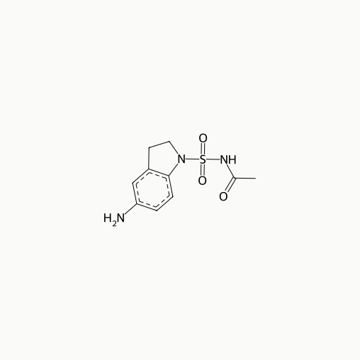 CC(=O)NS(=O)(=O)N1CCc2cc(N)ccc21